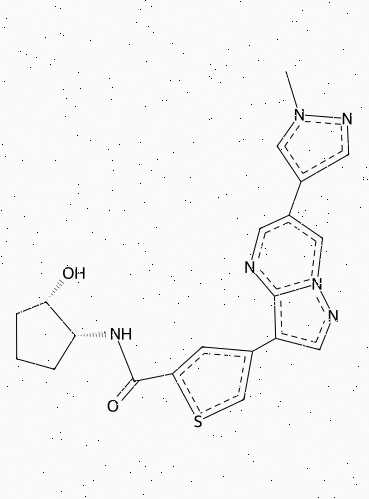 Cn1cc(-c2cnc3c(-c4csc(C(=O)N[C@@H]5CCC[C@@H]5O)c4)cnn3c2)cn1